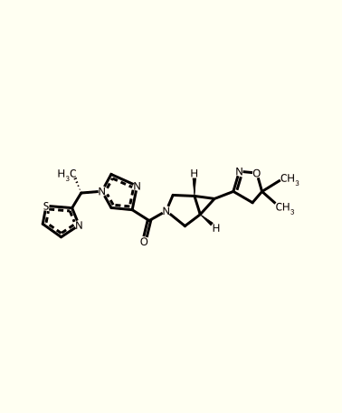 C[C@@H](c1nccs1)n1cnc(C(=O)N2C[C@@H]3C(C4=NOC(C)(C)C4)[C@@H]3C2)c1